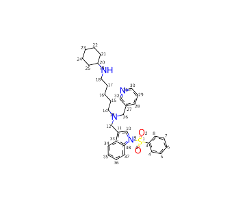 O=S(=O)(c1ccccc1)n1cc(CN(CCCCCNC2CCCCC2)Cc2cccnc2)c2ccccc21